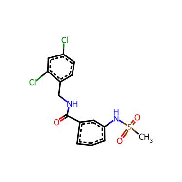 CS(=O)(=O)Nc1cccc(C(=O)NCc2ccc(Cl)cc2Cl)c1